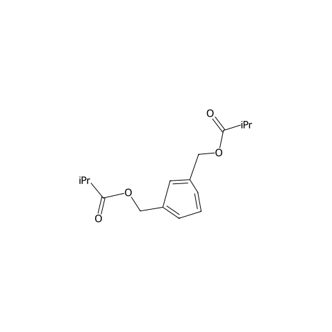 CC(C)C(=O)OCc1cccc(COC(=O)C(C)C)c1